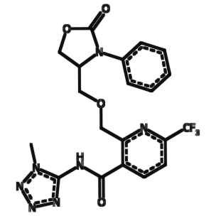 Cn1nnnc1NC(=O)c1ccc(C(F)(F)F)nc1COCC1COC(=O)N1c1ccccc1